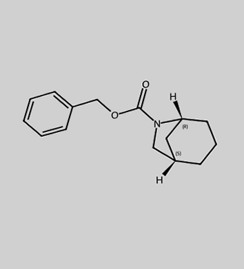 O=C(OCc1ccccc1)N1C[C@H]2CCC[C@@H]1C2